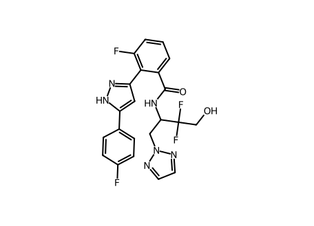 O=C(NC(Cn1nccn1)C(F)(F)CO)c1cccc(F)c1-c1cc(-c2ccc(F)cc2)[nH]n1